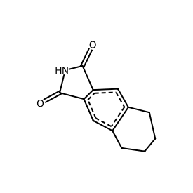 O=C1NC(=O)c2cc3c(cc21)CCCC3